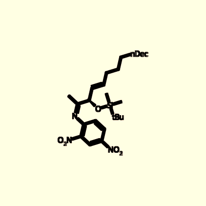 CCCCCCCCCCCCCC=C[C@@H](O[Si](C)(C)C(C)(C)C)C(C)=Nc1ccc([N+](=O)[O-])cc1[N+](=O)[O-]